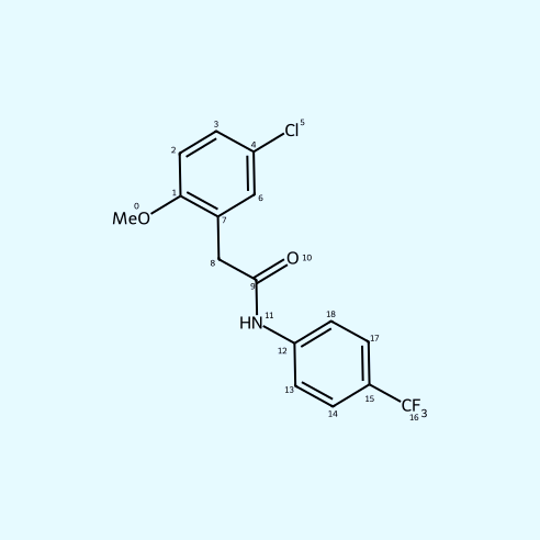 COc1ccc(Cl)cc1CC(=O)Nc1ccc(C(F)(F)F)cc1